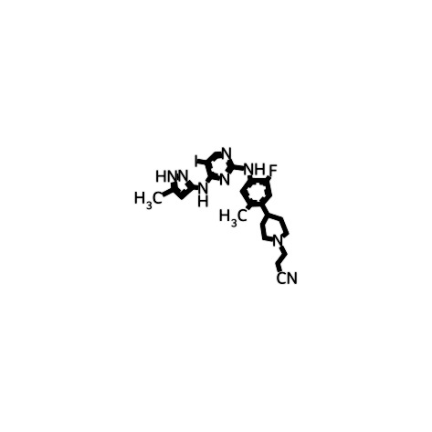 Cc1cc(Nc2nc(Nc3cc(C)c(C4CCN(CCC#N)CC4)cc3F)ncc2I)n[nH]1